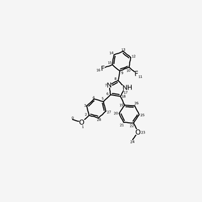 COc1ccc(-c2nc(-c3c(F)cccc3F)[nH]c2-c2ccc(OC)cc2)cc1